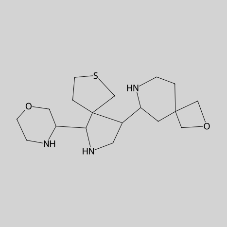 C1CC2(COC2)CC(C2CNC(C3COCCN3)C23CCSC3)N1